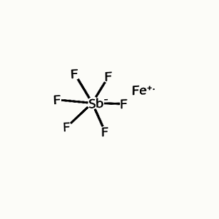 [F][Sb-]([F])([F])([F])([F])[F].[Fe+]